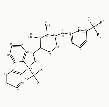 CC(C)(C)[Si](OCC1OCC(Nc2nccc(C(F)(F)F)n2)C(O)C1O)(c1ccccc1)c1ccccc1